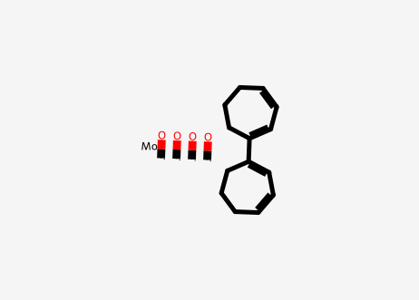 C1=CCCCC(C2=CC=CCCC2)=C1.[C]=O.[C]=O.[C]=O.[C]=O.[Mo]